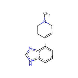 CN1CC=C(c2cccc3[nH]cnc23)CC1